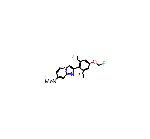 [3H]c1cc(OCF)cc([3H])c1-c1cn2ccc(NC)cc2n1